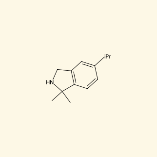 CC(C)c1ccc2c(c1)CNC2(C)C